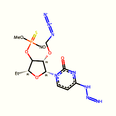 CC[C@H]1O[C@@H](n2ccc(NN=N)nc2=O)[C@@H](OCN=[N+]=[N-])C1OP(=S)(N=O)OC